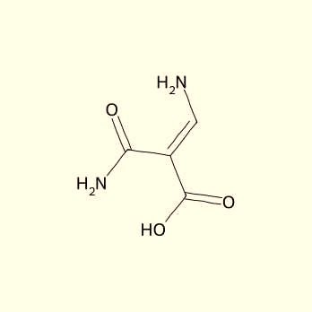 N/C=C(\C(N)=O)C(=O)O